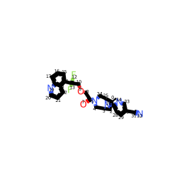 C[C@H]1CC2CN(C(=O)COCC(F)(F)c3cccc4ncccc34)CC1N2c1ccc(C#N)cn1